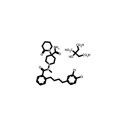 CN(C(=O)c1ccccc1CCCCc1ccc(Cl)c(Cl)c1)N1CCC(C(N)=O)(N2CCCCC2=O)CC1.O=C(O)CC(O)(CC(=O)O)C(=O)O